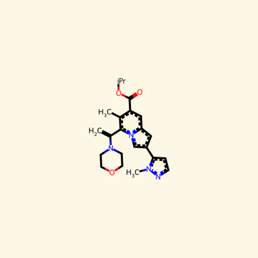 C=C(c1c(C)c(C(=O)OC(C)C)cc2cc(-c3ccnn3C)cn12)N1CCOCC1